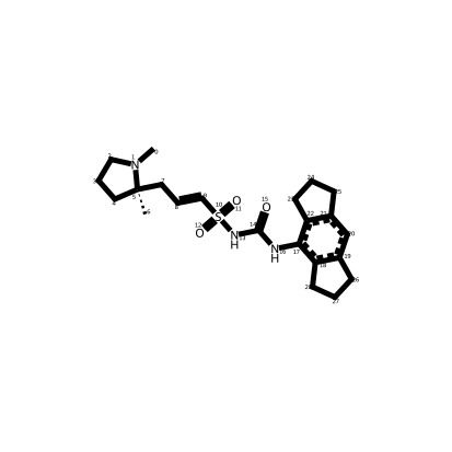 CN1CCC[C@]1(C)C/C=C/S(=O)(=O)NC(=O)Nc1c2c(cc3c1CCC3)CCC2